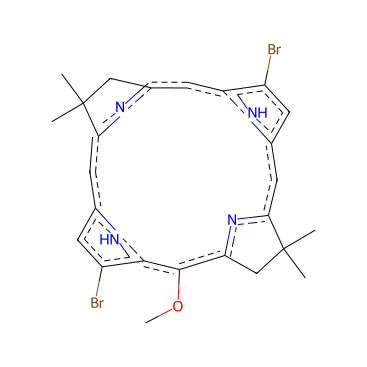 COc1c2nc(cc3cc(Br)c(cc4nc(cc5cc(Br)c1[nH]5)C(C)(C)C4)[nH]3)C(C)(C)C2